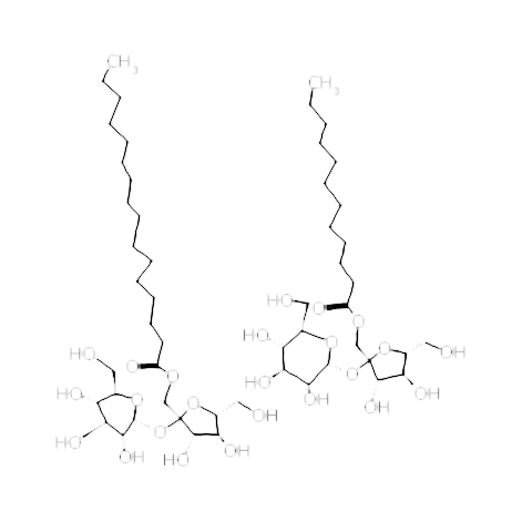 CCCCCCCCCCCC(=O)OC[C@@]1(O[C@H]2O[C@H](CO)[C@@H](O)[C@H](O)[C@H]2O)O[C@H](CO)[C@@H](O)[C@@H]1O.CCCCCCCCCCCCCCCC(=O)OC[C@@]1(O[C@H]2O[C@H](CO)[C@@H](O)[C@H](O)[C@H]2O)O[C@H](CO)[C@@H](O)[C@@H]1O